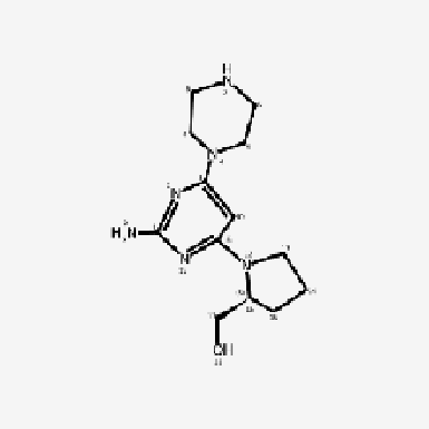 Nc1nc(N2CCNCC2)cc(N2CCC[C@H]2CO)n1